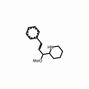 COC(C=Cc1ccccc1)C1CCCCN1